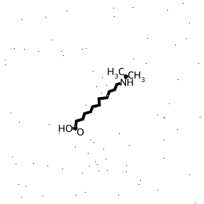 CC(C)NCCCCCCCCCCCC(=O)O